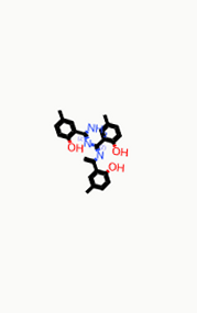 C=C(/N=C(\N=C(/N)c1cc(C)ccc1O)c1cc(C)ccc1O)c1cc(C)ccc1O